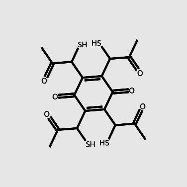 CC(=O)C(S)C1=C(C(S)C(C)=O)C(=O)C(C(S)C(C)=O)=C(C(S)C(C)=O)C1=O